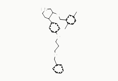 Cc1ccc(C)c(COC2CNCCC2c2ccc(OCCCOCc3ccccc3)cc2)c1